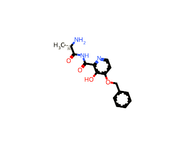 C[C@H](N)C(=O)NC(=O)c1nccc(OCc2ccccc2)c1O